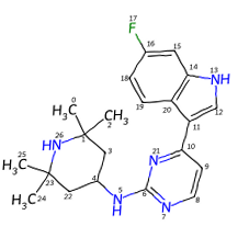 CC1(C)CC(Nc2nccc(-c3c[nH]c4cc(F)ccc34)n2)CC(C)(C)N1